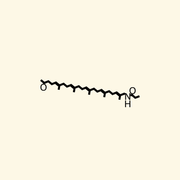 CCC(=O)NC/C(C)=C/CC/C(C)=C/CC/C(C)=C/CC/C(C)=C/CC/C(C)=C/CCC(C)=O